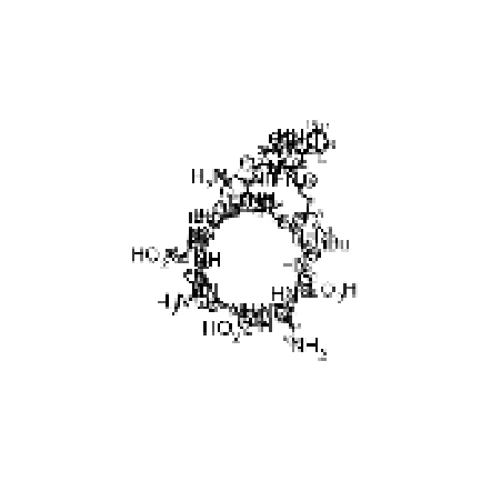 CCC(C)CCCCCCC(=O)NC(Cc1c[nH]c2ccccc12)C(=O)NC(CCC(=O)O)C(=O)NC(CC(N)=O)C(=O)NC1C(=O)N(C)CC(=O)NC(C)C(=O)NC(CC(=O)O)C(=O)NC(CCCCN)C(=O)NC(CC(=O)O)C(=O)NCC(=O)NC(CC(N)=O)C(=O)NC(C(C)CC(=O)O)C(=O)NC(C(C)CC)C(=O)OC1C